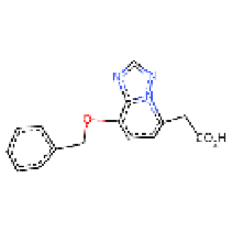 O=C(O)Cc1ccc(OCc2ccccc2)c2ncnn12